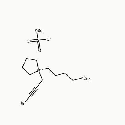 CCCCCCCCCCCCCC[N+]1(CC#CBr)CCCC1.CCCCS(=O)(=O)[O-]